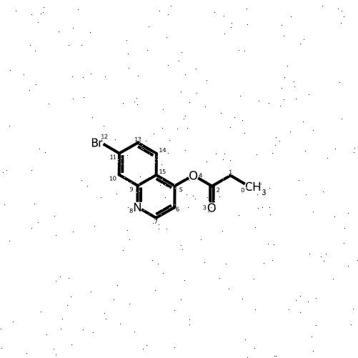 CCC(=O)Oc1ccnc2cc(Br)ccc12